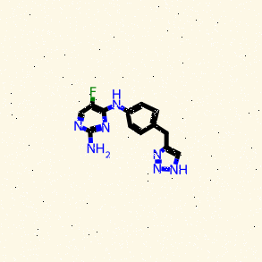 Nc1ncc(F)c(Nc2ccc(Cc3c[nH]nn3)cc2)n1